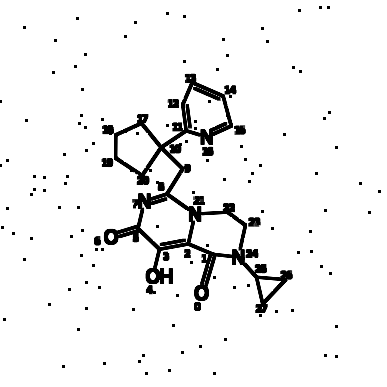 O=C1c2c(O)c(=O)nc(CC3(c4ccccn4)CCCC3)n2CCN1C1CC1